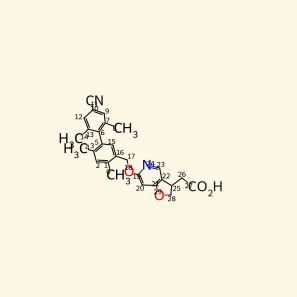 Cc1cc(C)c(-c2c(C)cc(C#N)cc2C)cc1COc1cc2c(cn1)C(CC(=O)O)CO2